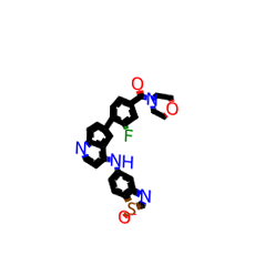 O=C(c1ccc(-c2ccc3nccc(Nc4ccc5c(c4)nc[s+]5[O-])c3c2)c(F)c1)N1CCOCC1